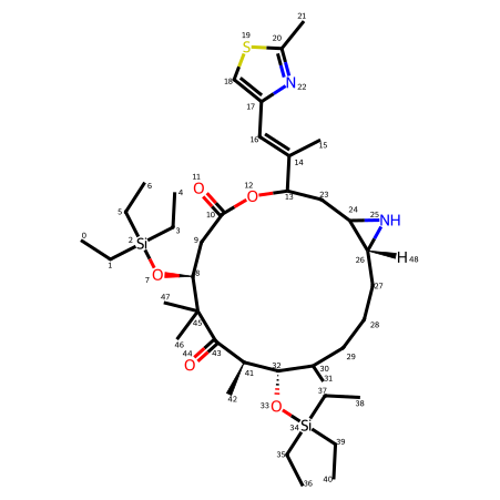 CC[Si](CC)(CC)O[C@H]1CC(=O)OC(/C(C)=C/c2csc(C)n2)CC2N[C@@H]2CCCC(C)[C@H](O[Si](CC)(CC)CC)[C@@H](C)C(=O)C1(C)C